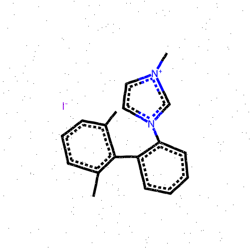 Cc1cccc(C)c1-c1ccccc1-n1cc[n+](C)c1.[I-]